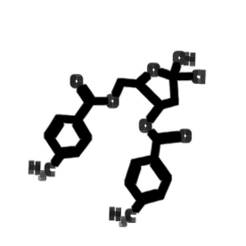 Cc1ccc(C(=O)OCC2OC(O)(Cl)CC2OC(=O)c2ccc(C)cc2)cc1